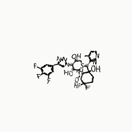 Cc1ccnnc1[C@H]([SH]1C[C@H](O)[C@H](n2cc(-c3cc(F)c(F)c(F)c3)nn2)[C@@H](O)[C@H]1CO)C1(O)CCC(F)(F)CC1